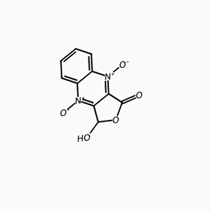 O=C1OC(O)c2c1[n+]([O-])c1ccccc1[n+]2[O-]